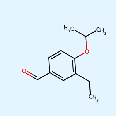 CCc1cc(C=O)ccc1OC(C)C